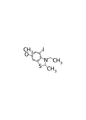 CCN1c2c(I)cc(OC)cc2SC1C